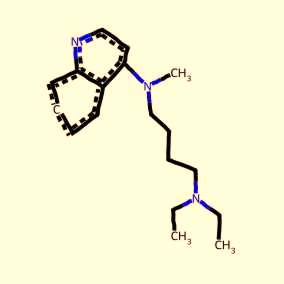 CCN(CC)CCCCN(C)c1ccnc2ccccc12